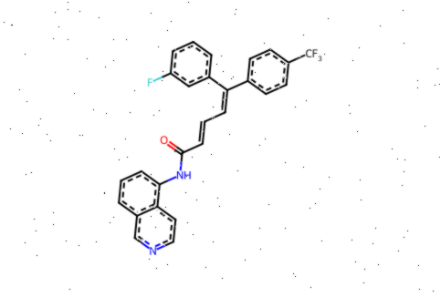 O=C(/C=C/C=C(/c1ccc(C(F)(F)F)cc1)c1cccc(F)c1)Nc1cccc2cnccc12